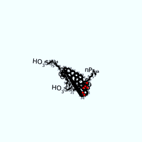 CCC[N+](C)(C)CCCCOC(=O)C1(C(=O)OCCCC[N+](C)(C)CCS(=O)(=O)O)C23CCc4cc5cc6c7c8c9c%10c%11c%12c%13c(cc%14ccc2c2c%15c%16c%17c(c4C%1613)c5c7c9c%17c%11c%15c%13c%142)C=C1CC2CC8(C=C6)C23C(C(=O)OCCCC[N+](C)(C)CCS(=O)(=O)O)(C(=O)OCC[N+](C)(C)CCC)C%103C1%12